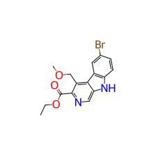 CCOC(=O)c1ncc2[nH]c3ccc(Br)cc3c2c1COC